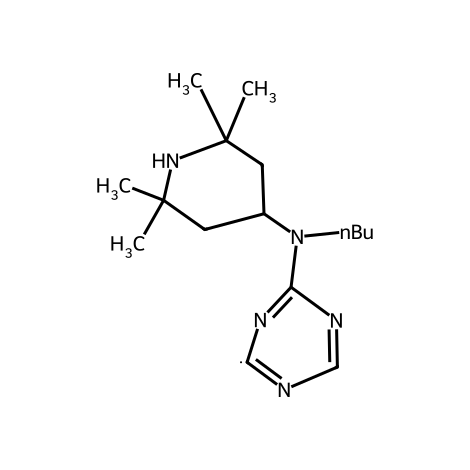 CCCCN(c1n[c]ncn1)C1CC(C)(C)NC(C)(C)C1